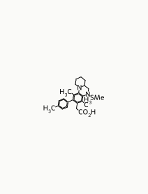 CSN1CC2CCCCN2c2c(C)c(-c3ccc(C)cc3)c(CC(=O)O)c(C)c21